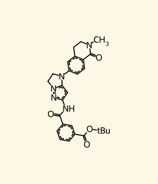 CN1CCc2cc(N3CCn4nc(NC(=O)c5cccc(C(=O)OC(C)(C)C)c5)cc43)ccc2C1=O